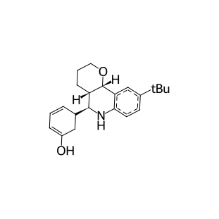 CC(C)(C)c1ccc2c(c1)[C@H]1OCCC[C@H]1[C@H](C1C=CC=C(O)C1)N2